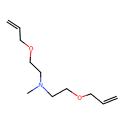 C=CCOCCN(C)CCOCC=C